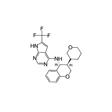 FC(F)(F)c1cc2c(N[C@H]3c4ccccc4OC[C@@H]3C3CCCOC3)ncnc2[nH]1